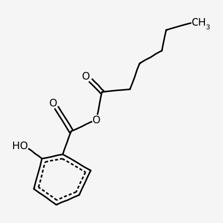 CCCCCC(=O)OC(=O)c1ccccc1O